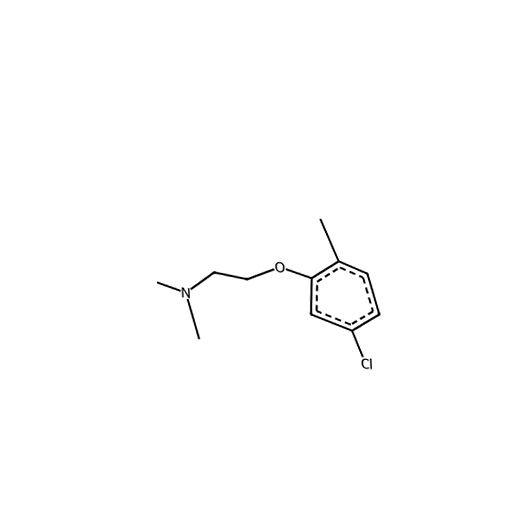 Cc1ccc(Cl)cc1OCCN(C)C